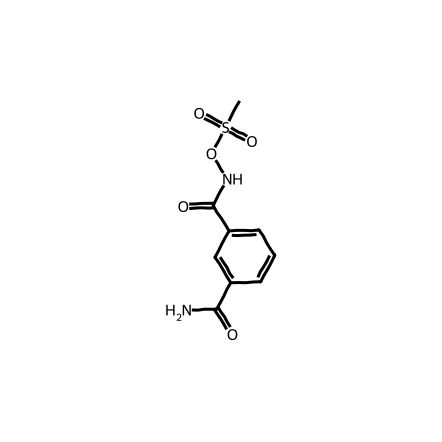 CS(=O)(=O)ONC(=O)c1cccc(C(N)=O)c1